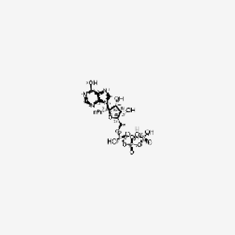 CCC[C@@]1(n2cnc3c(O)ncnc32)O[C@H](COP(=O)(O)OP(=O)(O)OP(=O)(O)O)[C@@H](O)[C@H]1O